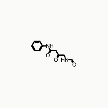 O=CNCC(=O)CC(=O)Nc1ccccc1